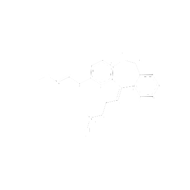 CON=CCc1ccc2c(c1)/C(=C\CCN(C)C)c1ccccc1CO2